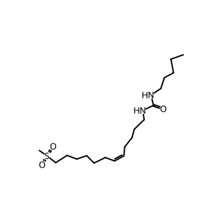 CCCCCNC(=O)NCCCC/C=C\CCCCCCS(C)(=O)=O